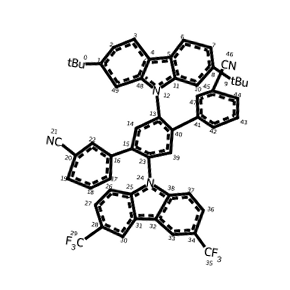 CC(C)(C)c1ccc2c3ccc(C(C)(C)C)cc3n(-c3cc(-c4cccc(C#N)c4)c(-n4c5ccc(C(F)(F)F)cc5c5cc(C(F)(F)F)ccc54)cc3-c3cccc(C#N)c3)c2c1